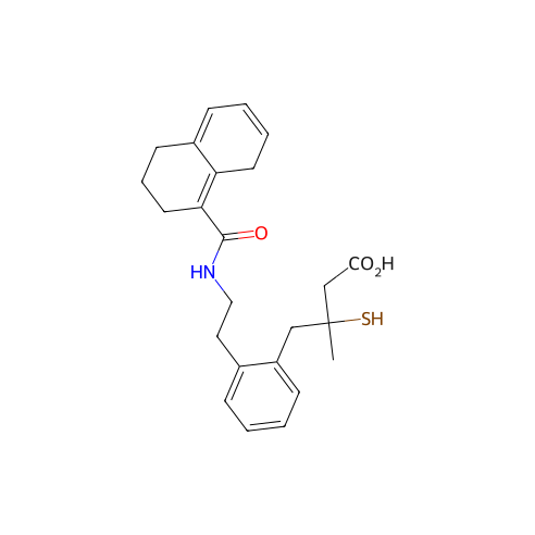 CC(S)(CC(=O)O)Cc1ccccc1CCNC(=O)C1=C2CC=CC=C2CCC1